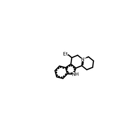 CCC1C[N+]2=C(CCCC2)c2[nH]c3ccccc3c21